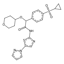 O=C(Nc1ncc(-n2cccn2)s1)C(OC1CCOCC1)c1ccc(S(=O)(=O)C2CC2)cc1